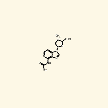 CC(C)C(=O)Nc1ncnc2c1ncn2[C@H]1C[C@H](C)[C@@H](C=O)O1